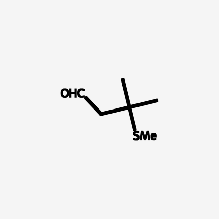 CSC(C)(C)CC=O